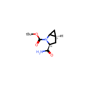 CC(C)(C)OC(=O)N1C2C[C@H]2C[C@H]1C(N)=O